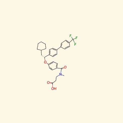 CN(CCC(=O)O)C(=O)c1ccc(O[C@H](CC2CCCCC2)c2ccc(-c3ccc(C(F)(F)F)cc3)cc2)cc1